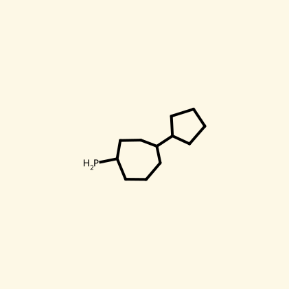 PC1CCCC(C2CCCC2)CC1